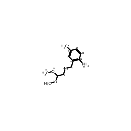 COC(C[N]Cc1cc(C)ccc1N)OC